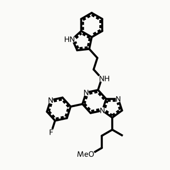 COCCC(C)c1cnc2c(NCCc3c[nH]c4ccccc34)nc(-c3cncc(F)c3)cn12